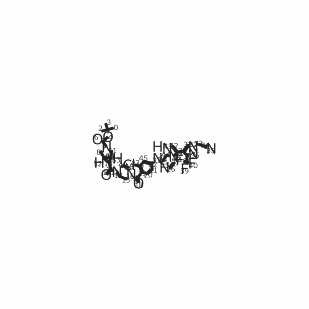 CC(C)(C)OC(=O)N1C[C@@H]2C(C(=O)N3CCN(C(=O)c4ccc(Nc5nccn6c(-c7cn(CC#N)nc7C(F)(F)F)cnc56)cc4Cl)CC3)[C@@H]2C1